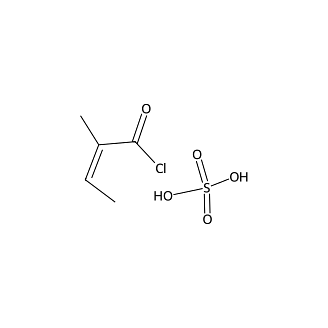 CC=C(C)C(=O)Cl.O=S(=O)(O)O